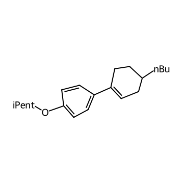 CCCCC1CC=C(c2ccc(OC(C)CCC)cc2)CC1